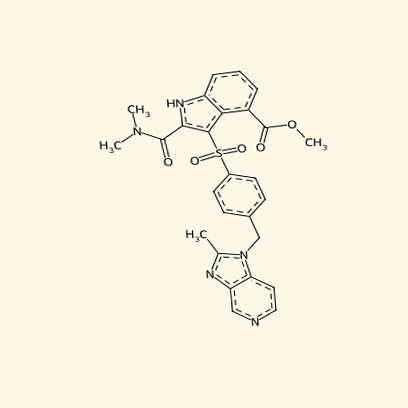 COC(=O)c1cccc2[nH]c(C(=O)N(C)C)c(S(=O)(=O)c3ccc(Cn4c(C)nc5cnccc54)cc3)c12